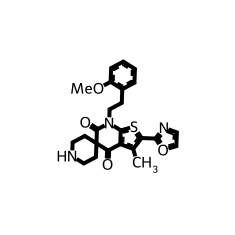 COc1ccccc1CCN1C(=O)C2(CCNCC2)C(=O)c2c1sc(-c1ncco1)c2C